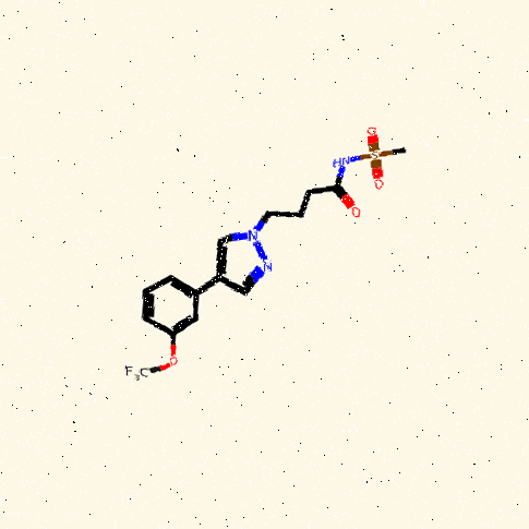 CS(=O)(=O)NC(=O)CCCn1cc(-c2cccc(OC(F)(F)F)c2)cn1